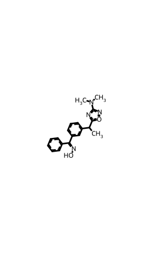 CC(c1cccc(C(=NO)c2ccccc2)c1)c1nc(N(C)C)no1